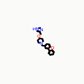 c1ccc2c(c1)oc1ccc(CN3CCC(OCc4c[nH]cn4)CC3)cc12